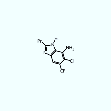 CCn1c(C(C)C)nc2cc(C(F)(F)F)c(Cl)c(N)c21